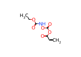 C=CC(=O)OC(=O)ONC(=O)OCC